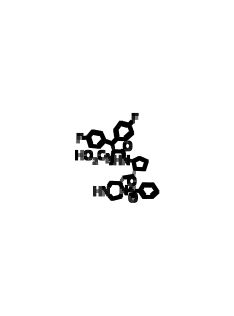 CN(C(=O)O)[C@H](C(=O)N[C@H]1CCC[C@@H]1CC[C@H]1CNCCN1S(=O)(=O)c1ccccc1)C(c1ccc(F)cc1)c1ccc(F)cc1